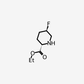 CCOC(=O)[C@@H]1CC[C@@H](F)CN1